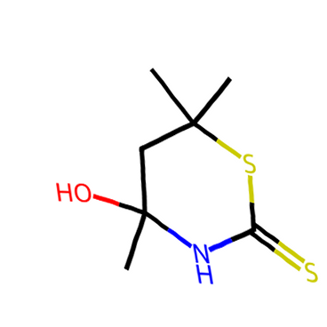 CC1(O)CC(C)(C)SC(=S)N1